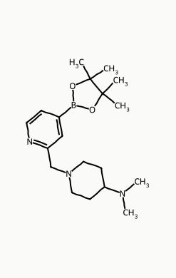 CN(C)C1CCN(Cc2cc(B3OC(C)(C)C(C)(C)O3)ccn2)CC1